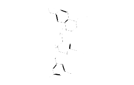 CCc1ccc2c(c1)[C@@H](NC[C@H](O)[C@H](Cc1cc(F)cc(F)c1)NC(C)=O)CCN2C